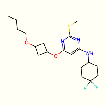 CCCCOC1CC(Oc2cc(NC3CCC(F)(F)CC3)nc(SC)n2)C1